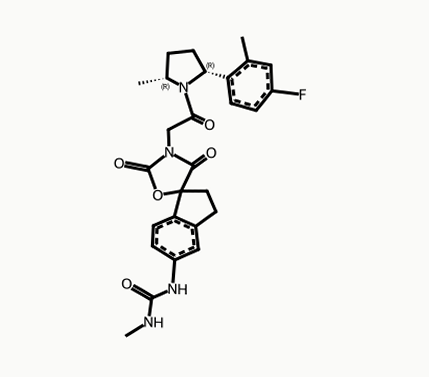 CNC(=O)Nc1ccc2c(c1)CCC21OC(=O)N(CC(=O)N2[C@H](C)CC[C@@H]2c2ccc(F)cc2C)C1=O